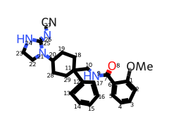 COc1ccccc1C(=O)NCC1(c2ccccc2)CCC(N2CCN/C2=N\C#N)CC1